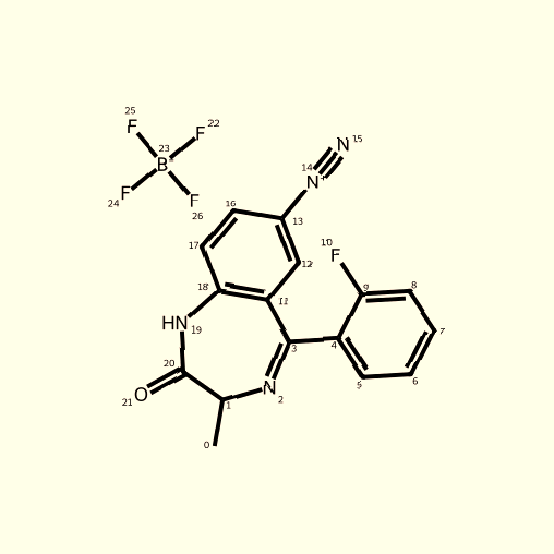 CC1N=C(c2ccccc2F)c2cc([N+]#N)ccc2NC1=O.F[B-](F)(F)F